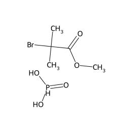 COC(=O)C(C)(C)Br.O=[PH](O)O